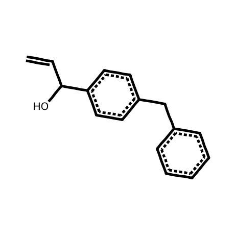 C=CC(O)c1ccc(Cc2ccccc2)cc1